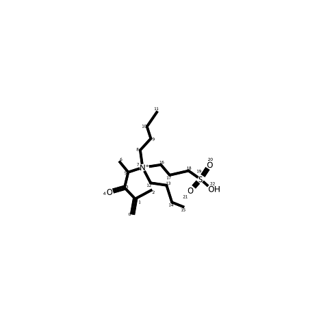 C=C(C)C(=O)C(C)[N+](CCCC)(CCCC)CCCS(=O)(=O)O